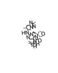 [2H]C([2H])([2H])n1c(=O)n(C2(C#C)CCOCC2)c2nc(Nc3cn4nc(C)nc4cc3C)ncc21